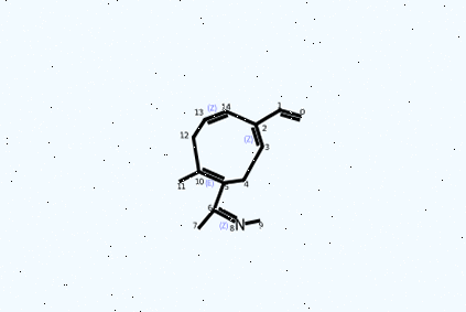 C=CC1=C/CC(/C(C)=N\C)=C(/C)C/C=C\1